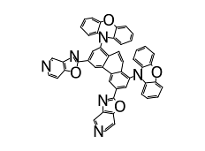 c1ccc2c(c1)Oc1ccccc1N2c1cc(-c2nc3cnccc3o2)cc2c1ccc1c(N3c4ccccc4Oc4ccccc43)cc(-c3nc4cnccc4o3)cc12